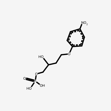 O=[N+]([O-])c1ccc(OCCC(O)COP(=O)(O)O)cc1